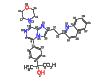 CC(O)(C(=O)O)c1ccc(-c2cnc(N3CCOCC3)c3nc(CCc4ccc5ccccc5n4)cn23)cc1